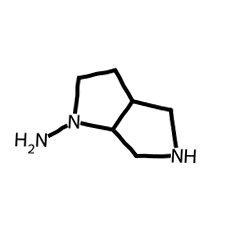 NN1CCC2CNCC21